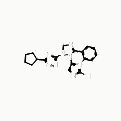 Clc1ncc2n1-c1ccccc1C1=NCN(c3noc(C4CCCC4)n3)N12